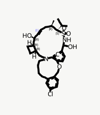 CC(C)[C@H]1[C@H](C)C/C=C/[C@H](O)[C@@H]2CC[C@H]2CN2CCCCc3cc(Cl)ccc3COc3ccc(cc32)C(O)NS1(=O)=O